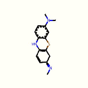 CN=C1C=CC2=C(C1)Sc1cc(N(C)C)ccc1N2